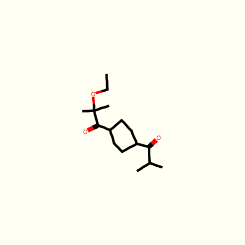 CCOC(C)(C)C(=O)C1CCC(C(=O)C(C)C)CC1